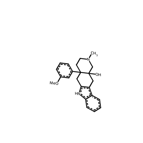 COc1cccc(C23CCN(C)CC2(O)Cc2c([nH]c4ccccc24)C3)c1